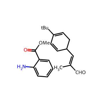 CC(C=O)=CC1C=CC(C(C)(C)C)=CC1.COC(=O)c1ccccc1N